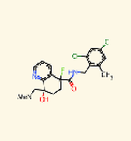 CNCC1(O)CCC(F)(C(=O)NCc2c(C)cc(Cl)cc2Cl)c2cccnc21